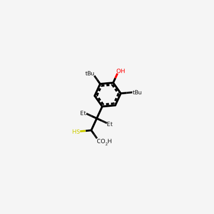 CCC(CC)(c1cc(C(C)(C)C)c(O)c(C(C)(C)C)c1)C(S)C(=O)O